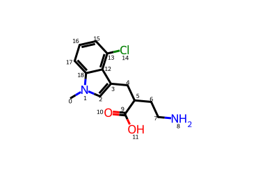 Cn1cc(CC(CCN)C(=O)O)c2c(Cl)cccc21